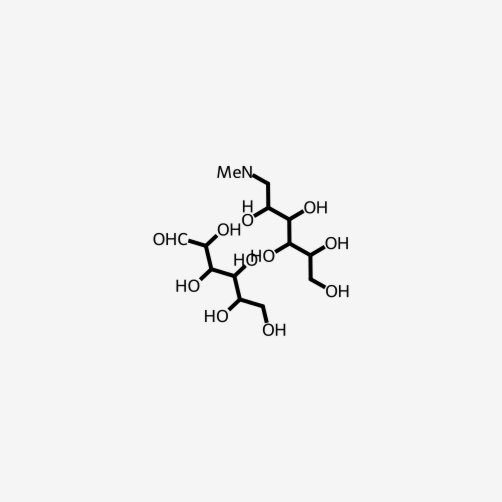 CNCC(O)C(O)C(O)C(O)CO.O=CC(O)C(O)C(O)C(O)CO